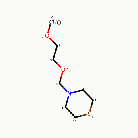 O=COCCOCN1CCSCC1